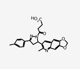 Cc1ccc(C2=NN(C(=O)CCC(=O)O)C(c3cc4cc5c(cc4nc3C)OCO5)C2)cc1